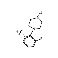 CCN1CCN(c2c(C)cccc2F)CC1